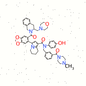 CN1CCN(C(=O)c2cccc(CN(C(=O)c3cc(-c4cc5c(cc4C(=O)N4Cc6ccccc6CC4CN4CCOCC4)OCO5)n4c3CCCC4)c3ccc(O)cc3)c2)CC1